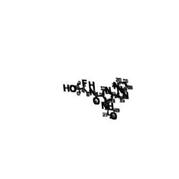 CC(C)(O)C(F)CNC(=O)c1cnc(-c2cnc3cccnn23)cc1NC1COC1